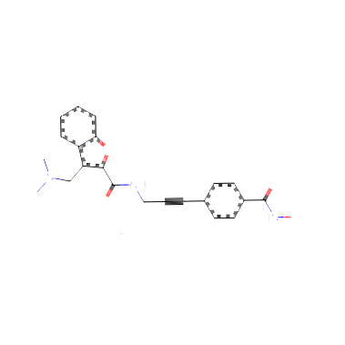 CN(C)Cc1c(C(=O)NCC#Cc2ccc(C(=O)NO)cc2)oc2ccccc12.Cl